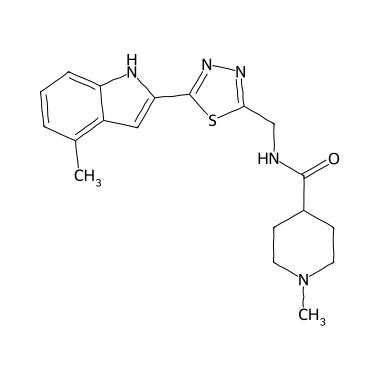 Cc1cccc2[nH]c(-c3nnc(CNC(=O)C4CCN(C)CC4)s3)cc12